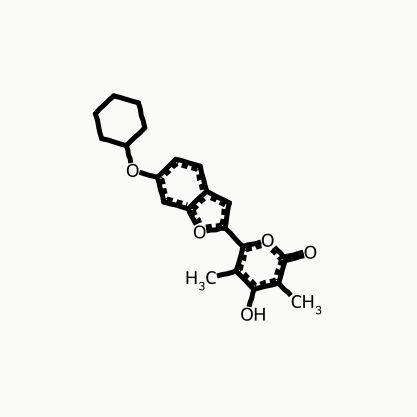 Cc1c(-c2cc3ccc(OC4CCCCC4)cc3o2)oc(=O)c(C)c1O